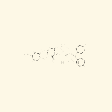 Cc1nc(=O)n(CC2(CO[Si](c3ccccc3)(c3ccccc3)C(C)(C)C)COC2)c(=O)n1Cc1ccc(Cl)cc1